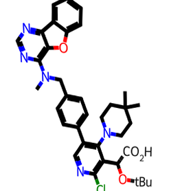 CN(Cc1ccc(-c2cnc(Cl)c(C(OC(C)(C)C)C(=O)O)c2N2CCC(C)(C)CC2)cc1)c1ncnc2c1oc1ccccc12